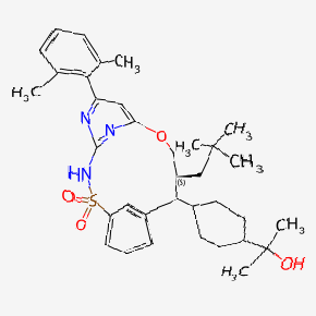 Cc1cccc(C)c1-c1cc2nc(n1)NS(=O)(=O)c1cccc(c1)C(C1CCC(C(C)(C)O)CC1)[C@H](CC(C)(C)C)CO2